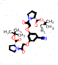 CC(C)(C)OC(=O)[C@H]1CCCN1C(=O)COc1cc(C#N)cc(OCC(=O)N2CCC[C@@H]2C(=O)OC(C)(C)C)c1